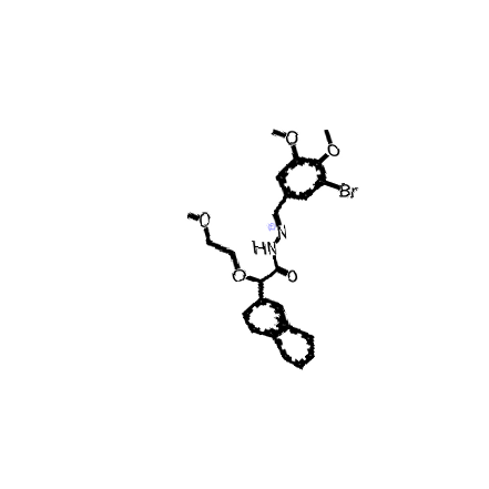 COCCOC(C(=O)N/N=C/c1cc(Br)c(OC)c(OC)c1)c1ccc2ccccc2c1